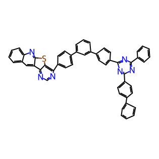 c1ccc(-c2ccc(-c3nc(-c4ccccc4)nc(-c4ccc(-c5cccc(-c6ccc(-c7ncnc8c7sc7nc9ccccc9cc78)cc6)c5)cc4)n3)cc2)cc1